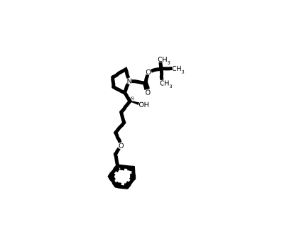 CC(C)(C)OC(=O)N1CCCC1[C@@H](O)CCCOCc1ccccc1